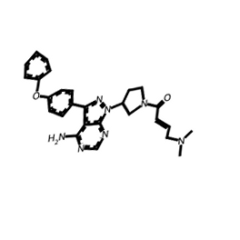 CN(C)C/C=C/C(=O)N1CCC(n2nc(-c3ccc(Oc4ccccc4)cc3)c3c(N)ncnc32)C1